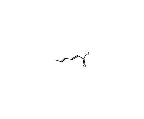 CC=CC=CC(=O)CC